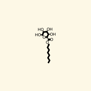 CCCCCCCCOC(=O)[C@H]1O[C@@H](O)[C@H](O)[C@@H](O)[C@@H]1O